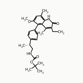 CCc1c(C)c2c(-c3ccc([C@@H](C)CNC(=O)OC(C)(C)C)cc3)c(OC)cc(C)c2[nH]c1=O